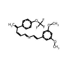 C=C(\C=C/C=N/C=C/c1cc(OC)cc(OC)c1)c1ccc(OC(F)(F)F)cc1